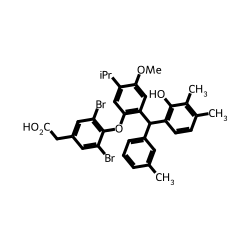 COc1cc(C(c2cccc(C)c2)c2ccc(C)c(C)c2O)c(Oc2c(Br)cc(CC(=O)O)cc2Br)cc1C(C)C